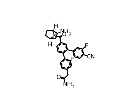 N#Cc1ccc(-c2cc(C(=O)N3[C@@H]4CC[C@H]3[C@@H](N)C4)ccc2-c2ccc(CC(N)=O)cc2F)cc1F